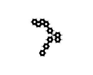 c1ccc(-c2ccc(-c3ccc(N(c4ccc(-c5ccc6ccc7c8ccccc8ccc7c6c5)cc4)c4cccc5ccccc45)cc3)cc2)cc1